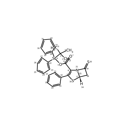 CC(C)(C)[Si](OC(=O)C1=C(c2ccccc2)S[C@H]2CC(=S)N12)(c1ccccc1)c1ccccc1